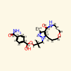 CCc1nn(CC(C)(C)COC(O)c2ccc(C(N)=O)cc2)c2c1C(=O)NCCCOCCC2